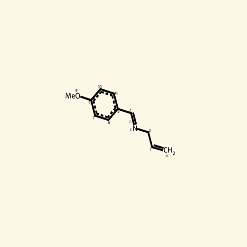 C=CC/N=C/c1ccc(OC)cc1